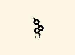 OCc1cccc2c(-c3ccc(Cl)cc3)cccc12